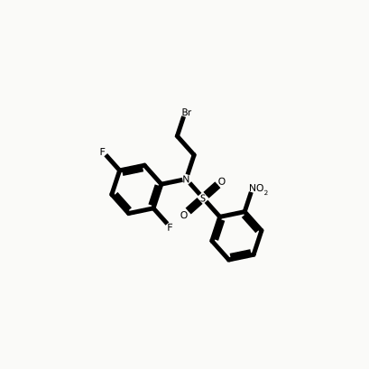 O=[N+]([O-])c1ccccc1S(=O)(=O)N(CCBr)c1cc(F)ccc1F